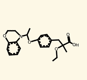 CCOC(C)(Cc1ccc(OC(C)N2CCOc3ccccc32)cc1)C(=O)O